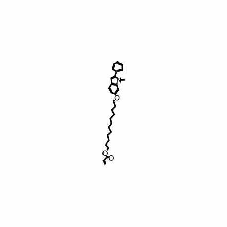 C=CC(=O)OCCCCCCCCCCCCOc1ccc2cc(-c3ccccc3)n(C)c2c1